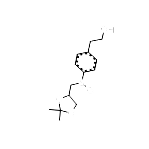 CC1(C)OCC(C[S+]([O-])c2ccc(CCO)cc2)O1